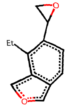 CCc1c(C2CO2)ccc2cocc12